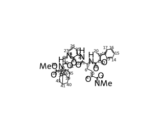 CNC(=O)C(=O)CCC(NC(=O)c1oc2ccccc2c1C)C(=O)Nc1cccn(CC(=O)NC2(C(=O)OC)C3CC4CC(C3)CC2C4)c1=O